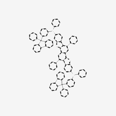 c1ccc(-c2cc3c(cc(-c4ccccc4)c4c5ccc(N(c6ccccc6)c6cccc(C7(c8ccccc8)c8ccccc8-c8ccccc87)c6)cc5sc34)c3sc4cc(N(c5ccccc5)c5cccc(C6(c7ccccc7)c7ccccc7-c7ccccc76)c5)ccc4c23)cc1